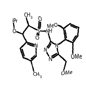 COCc1nnc(NS(=O)(=O)C(C)C(OC(C)C)c2ccc(C)cn2)n1-c1c(OC)cccc1OC